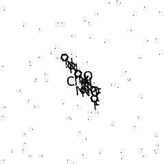 O=c1n(-c2ccc(N3CCN(c4ccccc4)CC3)cc2Cl)cnn1C[C@@H]1CO[C@@](Cn2cncn2)(c2ccc(F)cc2F)C1